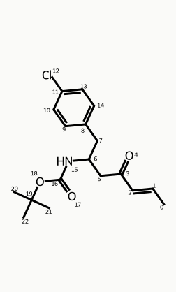 C/C=C/C(=O)CC(Cc1ccc(Cl)cc1)NC(=O)OC(C)(C)C